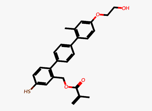 C=C(C)C(=O)OCc1cc(S)ccc1-c1ccc(-c2ccc(OCCO)cc2C)cc1